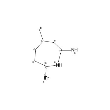 CC1CC[C@@H](C(C)C)NC(=N)C1